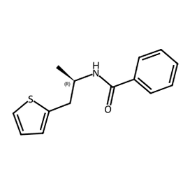 C[C@H](Cc1cccs1)NC(=O)c1ccccc1